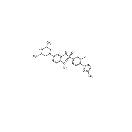 COc1ccc(N2CC(C)NC(C)C2)cc1NS(=O)(=O)c1ccc(-c2ccc(C)o2)c(F)c1